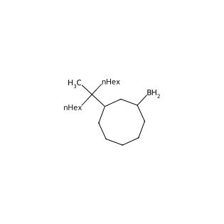 BC1CCCCCC(C(C)(CCCCCC)CCCCCC)C1